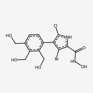 O=C(NO)c1[nH]c(Cl)c(-c2ccc(CO)c(CO)c2CO)c1Br